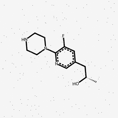 C[C@H](O)Cc1cnc(N2CCNCC2)c(F)c1